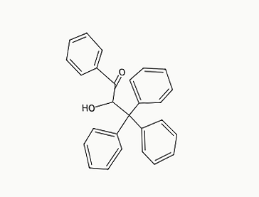 O=C(c1ccccc1)C(O)C(c1ccccc1)(c1ccccc1)c1ccccc1